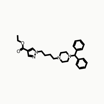 CCOC(=O)c1cnn(CCCCN2CCN(C(c3ccccc3)c3ccccc3)CC2)c1